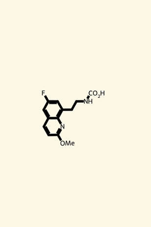 COc1ccc2cc(F)cc(CCNC(=O)O)c2n1